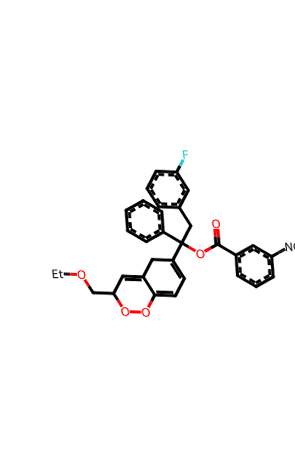 CCOCC1C=C2CC(C(Cc3cccc(F)c3)(OC(=O)c3cccc([N+](=O)[O-])c3)c3ccccc3)=CC=C2OO1